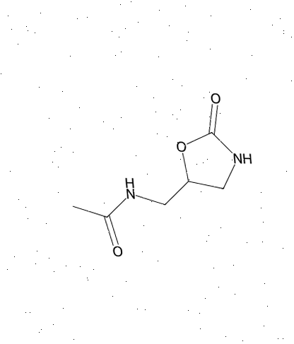 CC(=O)NCC1CNC(=O)O1